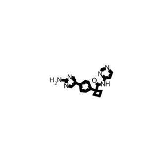 Nc1ncc(-c2ccc(C3(C(=O)Nc4ccncn4)CCC3)cc2)cn1